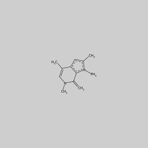 C=C1c2c(cc(C)n2P)C(C)=CN1C